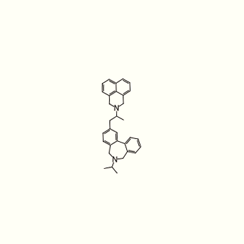 CC(C)N1Cc2ccccc2-c2cc(CC(C)N3Cc4cccc5cccc(c45)C3)ccc2C1